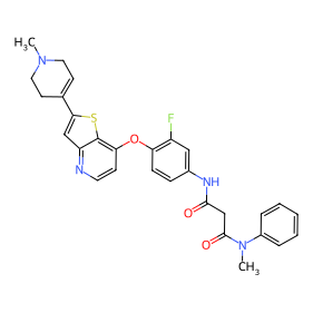 CN1CC=C(c2cc3nccc(Oc4ccc(NC(=O)CC(=O)N(C)c5ccccc5)cc4F)c3s2)CC1